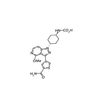 COc1nccc2c1c(-c1csc(C(N)=O)c1)nn2[C@H]1CC[C@H](NC(=O)O)CC1